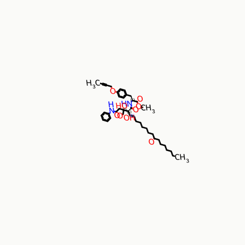 CC#CCOc1ccc(C[C@H](NC(=O)[C@@H](/C=C/CCCCCCC(=O)CCCCCCC)[C@@](O)(CC(=O)Nc2ccccc2)C(=O)O)C(=O)OC)cc1